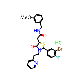 COc1cccc(CNC(=O)CC2SC(c3ccc(F)c(Br)c3)N(CCc3ccccn3)C2=O)c1.Cl